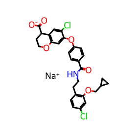 O=C(NCCc1ccc(Cl)cc1OCC1CC1)c1ccc(Oc2cc3c(cc2Cl)C(C(=O)[O-])CCO3)cc1.[Na+]